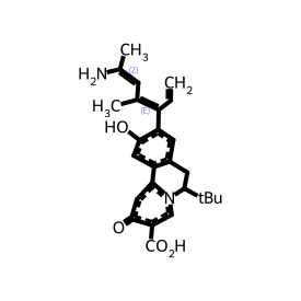 C=C/C(=C(C)\C=C(\C)N)c1cc2c(cc1O)-c1cc(=O)c(C(=O)O)cn1C(C(C)(C)C)C2